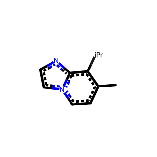 Cc1ccn2ccnc2c1C(C)C